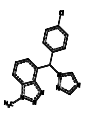 Cn1nnc2c(C(c3ccc(Cl)cc3)n3cncn3)cccc21